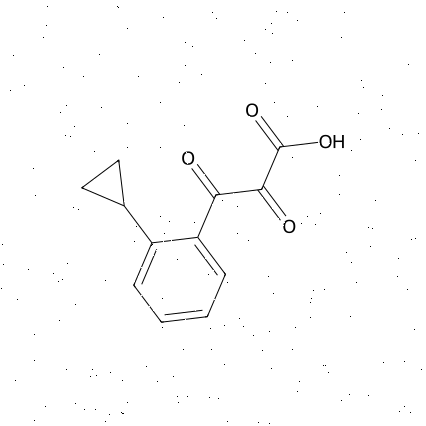 O=C(O)C(=O)C(=O)c1ccccc1C1CC1